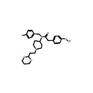 CCCOc1ccc(CC(=O)N(Cc2ccc(F)cc2)C2CCN(CCC3OCCCO3)CC2)cc1